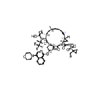 CC[C@@H]1C[C@@H](C)CC/C=C\[C@@H]2C[C@@]2(C(=O)NS(=O)(=O)C2(CF)CC2)NC(=O)[C@@H]2C[C@@H](Oc3ncc(N4CCOCC4)c4ccccc34)CN2C(=O)[C@H]1N(C(=O)O)C(C)(C)C(F)(F)F